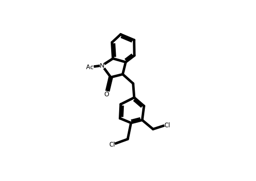 CC(=O)N1C(=O)C(Cc2ccc(CCl)c(CCl)c2)c2ccccc21